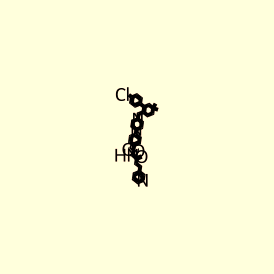 CC1(C)CCC(CN2CCN(c3ccc(S(=O)(=O)NC(=O)CCc4cccnc4)cc3)CC2)=C(c2ccc(Cl)cc2)C1